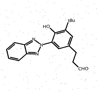 CC(C)(C)c1cc(CC[C]=O)cc(-n2nc3ccccc3n2)c1O